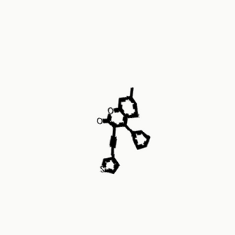 Cc1ccc2c(-c3ccccc3)c(C#Cc3ccsc3)c(=O)oc2c1